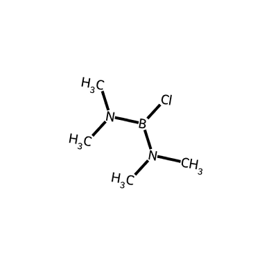 CN(C)B(Cl)N(C)C